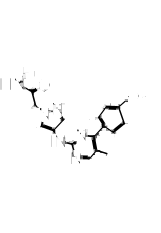 CCNC(=O)Cn1cc(Nc2ncc(C)c(-c3ccc(C(C)C)cc3)n2)cn1